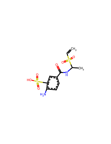 C=CS(=O)(=O)C(C)NC(=O)c1ccc(N)c(S(=O)(=O)O)c1